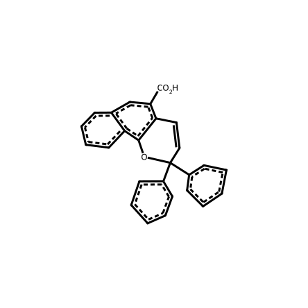 O=C(O)c1cc2ccccc2c2c1C=CC(c1ccccc1)(c1ccccc1)O2